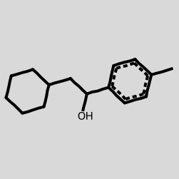 Cc1ccc(C(O)CC2CCCCC2)cc1